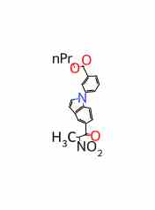 CCCOC(=O)c1cccc(-n2ccc3cc(C(=O)C(C)[N+](=O)[O-])ccc32)c1